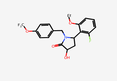 CCOc1cccc(F)c1C1CC(O)C(=O)N1Cc1ccc(OC(F)(F)F)cc1